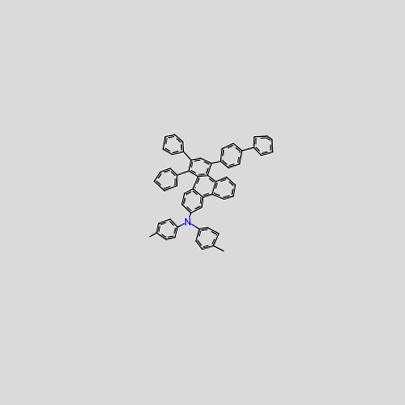 Cc1ccc(N(c2ccc(C)cc2)c2ccc3c(c2)c2ccccc2c2c(-c4ccc(-c5ccccc5)cc4)cc(-c4ccccc4)c(-c4ccccc4)c32)cc1